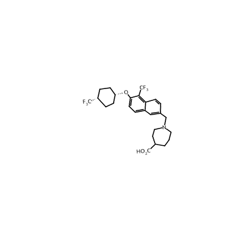 O=C(O)C1CCCN(Cc2ccc3c(C(F)(F)F)c(O[C@H]4CC[C@@H](C(F)(F)F)CC4)ccc3c2)CC1